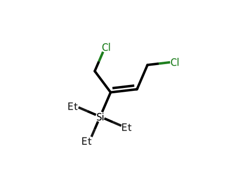 CC[Si](CC)(CC)C(=CCCl)CCl